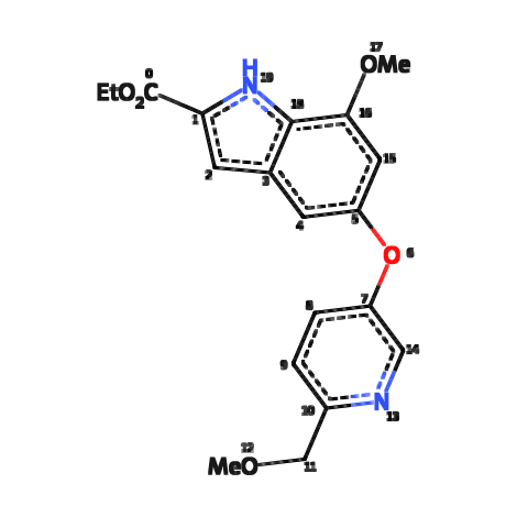 CCOC(=O)c1cc2cc(Oc3ccc(COC)nc3)cc(OC)c2[nH]1